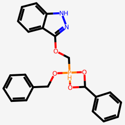 c1ccc(CO[PH]2(COc3n[nH]c4ccccc34)OC(c3ccccc3)O2)cc1